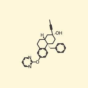 CC#C[C@@]1(O)CC[C@@]2(Cc3ccccc3)c3ccc(Oc4ncccn4)cc3CC[C@@H]2C1